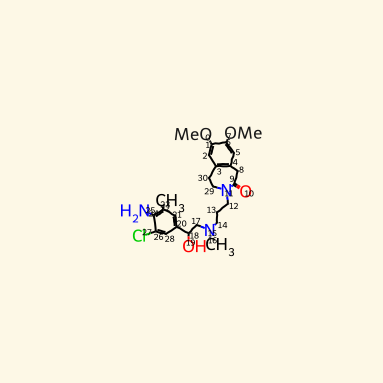 COc1cc2c(cc1OC)CC(=O)N(CCCN(C)CC(O)c1cc(C)c(N)c(Cl)c1)CC2